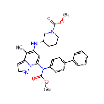 CC(C)(C)OC(=O)N1CCC[C@H](Nc2cc(N(C(=O)OC(C)(C)C)c3ccc(-c4ccccc4)cc3)n3nccc3c2C#N)C1